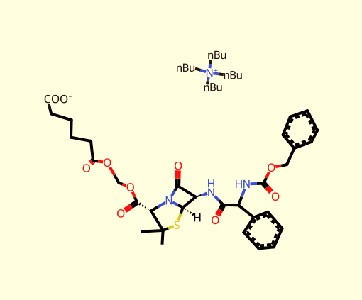 CC1(C)S[C@@H]2[C@H](NC(=O)C(NC(=O)OCc3ccccc3)c3ccccc3)C(=O)N2[C@H]1C(=O)OCOC(=O)CCCCC(=O)[O-].CCCC[N+](CCCC)(CCCC)CCCC